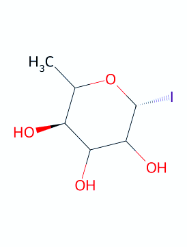 CC1O[C@H](I)C(O)C(O)[C@H]1O